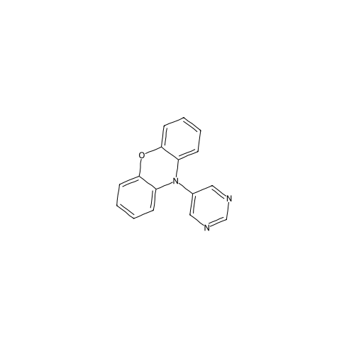 c1ccc2c(c1)Oc1ccccc1N2c1cncnc1